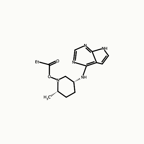 CCC(=O)ON1C[C@H](Nc2ncnc3[nH]ccc23)CC[C@@H]1C